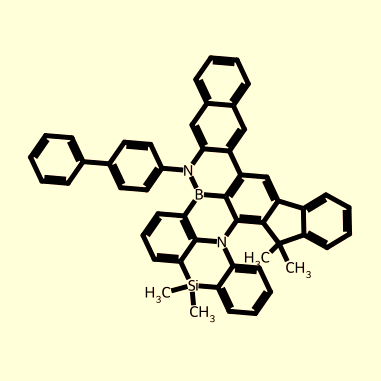 CC1(C)c2ccccc2-c2cc3c4c(c21)N1c2ccccc2[Si](C)(C)c2cccc(c21)B4N(c1ccc(-c2ccccc2)cc1)c1cc2ccccc2cc1-3